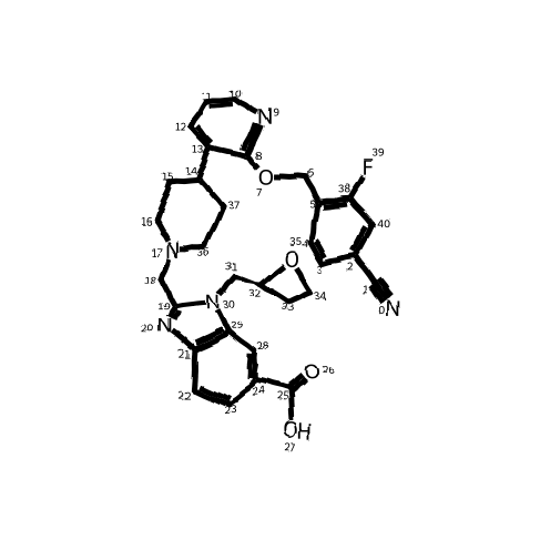 N#Cc1ccc(COc2ncccc2C2CCN(Cc3nc4ccc(C(=O)O)cc4n3C[C@@H]3CCO3)CC2)c(F)c1